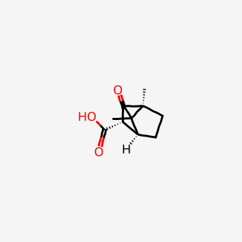 CC1(C)[C@H]2CC[C@]1(C)C(=O)[C@H]2C(=O)O